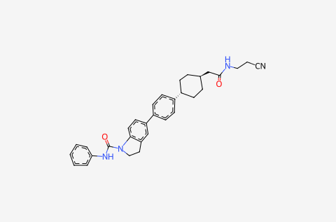 N#CCCNC(=O)C[C@H]1CC[C@H](c2ccc(-c3ccc4c(c3)CCN4C(=O)Nc3ccccc3)cc2)CC1